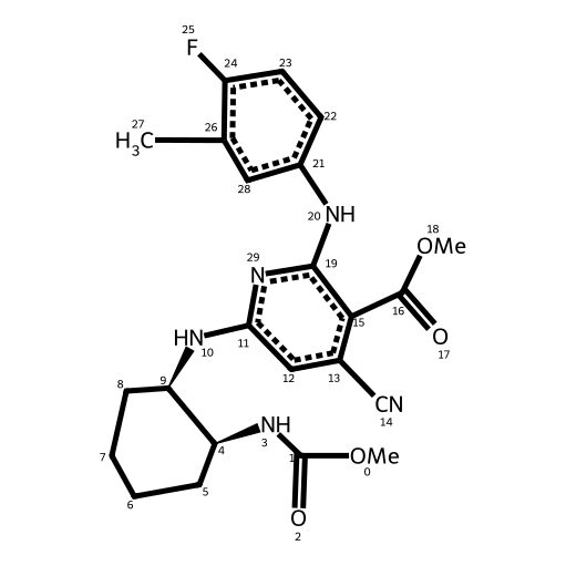 COC(=O)N[C@H]1CCCC[C@H]1Nc1cc(C#N)c(C(=O)OC)c(Nc2ccc(F)c(C)c2)n1